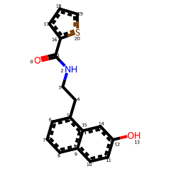 O=C(NCCc1cccc2ccc(O)cc12)c1cccs1